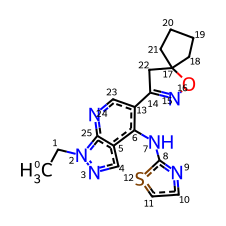 CCn1ncc2c(Nc3nccs3)c(C3=NOC4(CCCC4)C3)cnc21